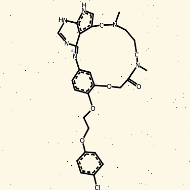 CN1CCCN(C)C(=O)COc2cc(ccc2OCCOc2ccc(Cl)cc2)/N=C2/N=CNc3[nH]cc(c32)C1